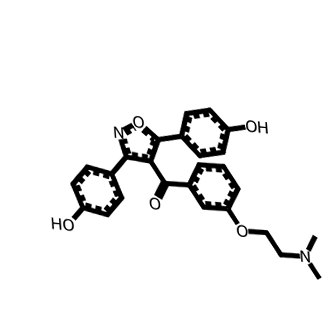 CN(C)CCOc1cccc(C(=O)c2c(-c3ccc(O)cc3)noc2-c2ccc(O)cc2)c1